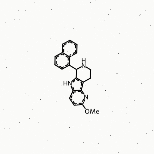 COc1ccc2[nH]c3c(c2n1)CCNC3c1cccc2ccccc12